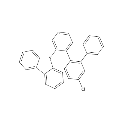 Clc1ccc(-c2ccccc2-n2c3ccccc3c3ccccc32)c(-c2ccccc2)c1